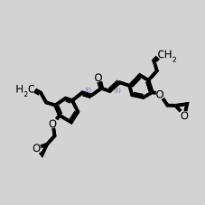 C=CCc1cc(/C=C/C(=O)/C=C/c2ccc(OCC3CO3)c(CC=C)c2)ccc1OCC1CO1